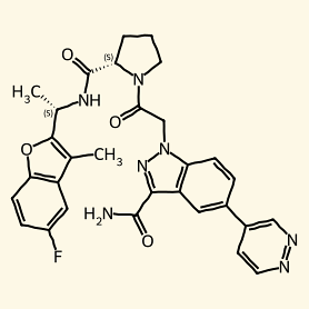 Cc1c([C@H](C)NC(=O)[C@@H]2CCCN2C(=O)Cn2nc(C(N)=O)c3cc(-c4ccnnc4)ccc32)oc2ccc(F)cc12